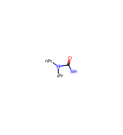 CCCN(C([NH])=O)C(C)C